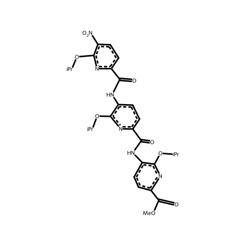 COC(=O)c1ccc(NC(=O)c2ccc(NC(=O)c3ccc([N+](=O)[O-])c(OC(C)C)n3)c(OC(C)C)n2)c(OC(C)C)n1